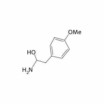 COc1ccc(CC(N)O)cc1